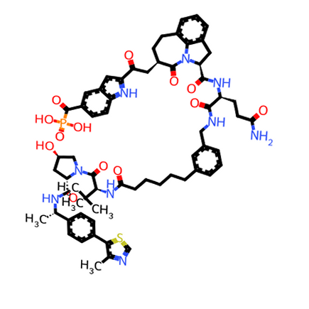 Cc1ncsc1-c1ccc([C@H](C)NC(=O)[C@@H]2C[C@@H](O)CN2C(=O)[C@@H](NC(=O)CCCCCc2cccc(CNC(=O)[C@H](CCC(N)=O)NC(=O)[C@@H]3Cc4cccc5c4N3C(=O)[C@@H](CC(=O)c3cc4cc(C(=O)P(=O)(O)O)ccc4[nH]3)CC5)c2)C(C)(C)C)cc1